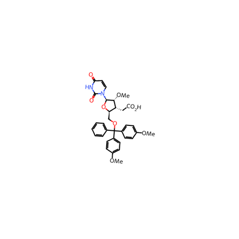 COc1ccc(C(OC[C@H]2O[C@@H](n3ccc(=O)[nH]c3=O)[C@H](OC)[C@@H]2CC(=O)O)(c2ccccc2)c2ccc(OC)cc2)cc1